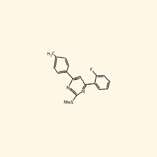 CSc1nc(-c2ccc(C)cc2)cc(-c2ccccc2F)n1